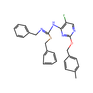 Cc1ccc(COc2ncc(F)c(N/C(=N/Cc3ccccc3)SCc3ccccc3)n2)cc1